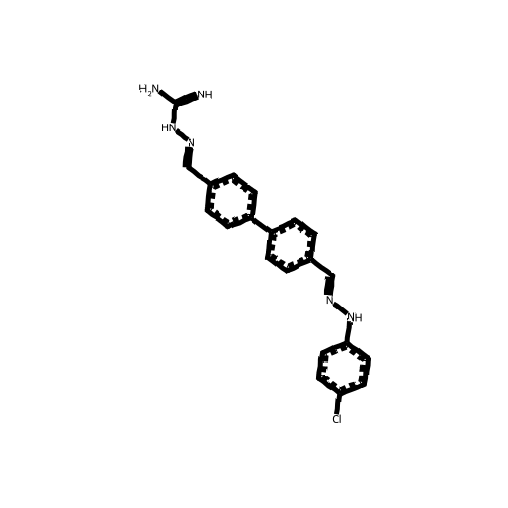 N=C(N)N/N=C/c1ccc(-c2ccc(/C=N/Nc3ccc(Cl)cc3)cc2)cc1